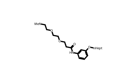 CCCCCCCOc1cccc(NC(=O)CCOCCOCCNC)c1